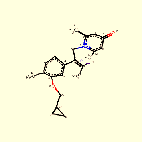 CO/C(I)=C(/Cn1c(C)cc(=O)cc1C)c1ccc(OC)c(OCC2CC2)c1